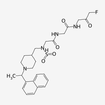 CC(c1cccc2ccccc12)N1CCC(CN(CC(=O)NCC(=O)NCC(=O)CF)[SH](=O)=O)CC1